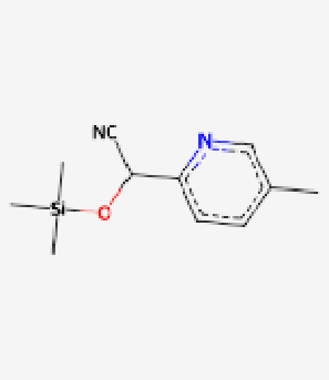 Cc1ccc(C(C#N)O[Si](C)(C)C)nc1